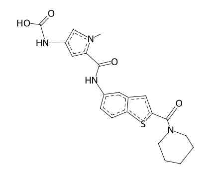 Cn1cc(NC(=O)O)cc1C(=O)Nc1ccc2sc(C(=O)N3CCCCC3)cc2c1